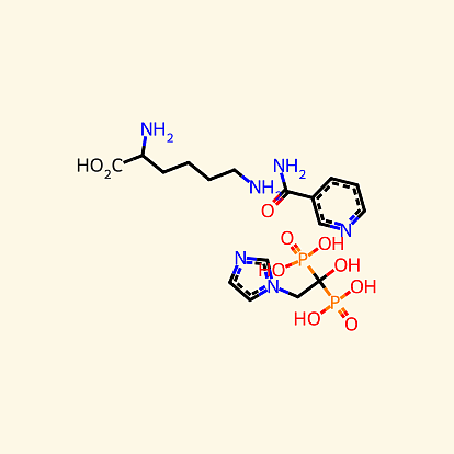 NC(=O)c1cccnc1.NCCCCC(N)C(=O)O.O=P(O)(O)C(O)(Cn1ccnc1)P(=O)(O)O